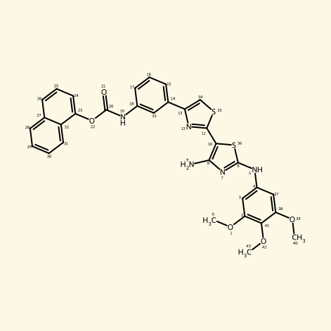 COc1cc(Nc2nc(N)c(-c3nc(-c4cccc(NC(=O)Oc5cccc6ccccc56)c4)cs3)s2)cc(OC)c1OC